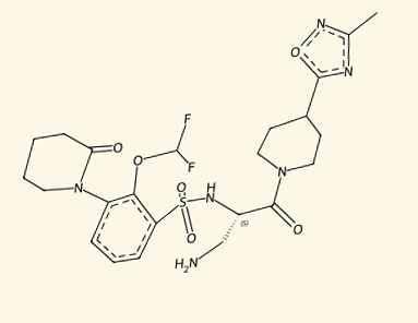 Cc1noc(C2CCN(C(=O)[C@H](CN)NS(=O)(=O)c3cccc(N4CCCCC4=O)c3OC(F)F)CC2)n1